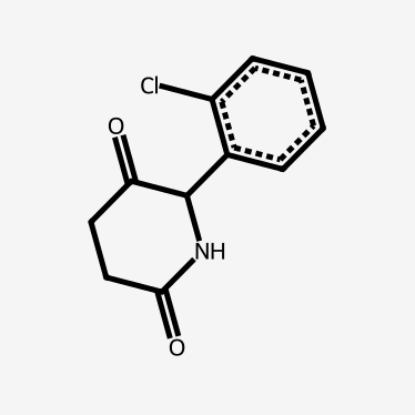 O=C1CCC(=O)C(c2ccccc2Cl)N1